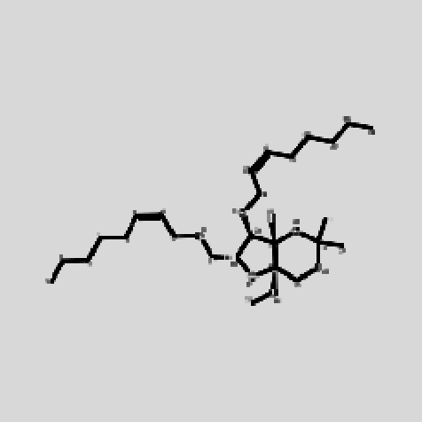 CCCCC/C=C\COC[C@H]1O[C@@]2(OC)COC(C)(C)O[C@H]2[C@@H]1OC/C=C\CCCCC